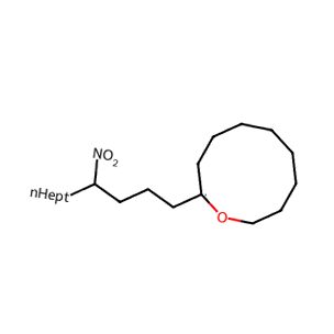 [CH2]CCCCCCC(CCC[C]1CCCCCCCCO1)[N+](=O)[O-]